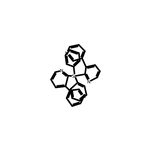 c1ccc([Si](c2ccccc2)(c2ncccc2-c2cccnc2)c2ncccc2-c2cccnc2)cc1